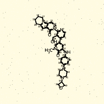 Cn1cc(-c2ccnc(-n3ncc4c(cc5n4CCCC5)c3=O)c2CO)cc(Nc2ccc(N3CCN(C4COC4)CC3)cn2)c1=O